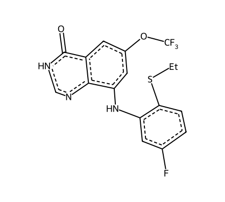 CCSc1ccc(F)cc1Nc1cc(OC(F)(F)F)cc2c(=O)[nH]cnc12